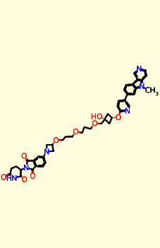 Cn1c2ccncc2c2ccc(-c3ccc(O[C@H]4C[C@](O)(COCCCOCCCOC5CN(c6ccc7c(c6)C(=O)N(C6CCC(=O)NC6=O)C7=O)C5)C4)nc3)cc21